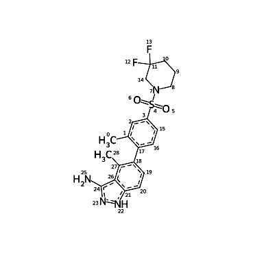 Cc1cc(S(=O)(=O)N2CCCC(F)(F)C2)ccc1-c1ccc2[nH]nc(N)c2c1C